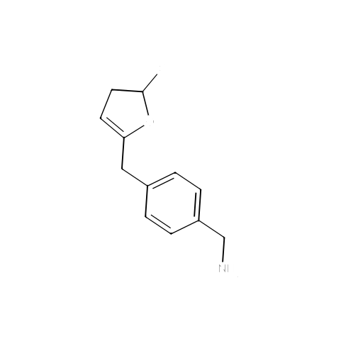 NCc1ccc(CC2=CCC(Cl)O2)cc1